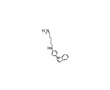 NCCCCCNc1ccc(-n2ccc3ccccc32)cc1